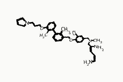 Cc1c(COc2ccc(CN(C)C/C(N)=C/C=C\N)cc2Cl)cccc1-c1cccc(OCCCN2CCCC2)c1C